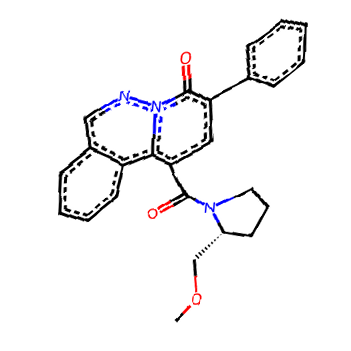 COC[C@H]1CCCN1C(=O)c1cc(-c2ccccc2)c(=O)n2ncc3ccccc3c12